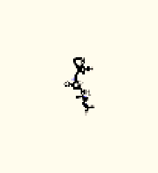 C/C(NC1=CC(=O)/C(=C/c2c[nH]c3ncccc23)O1)=C(F)\C=C(/C)F